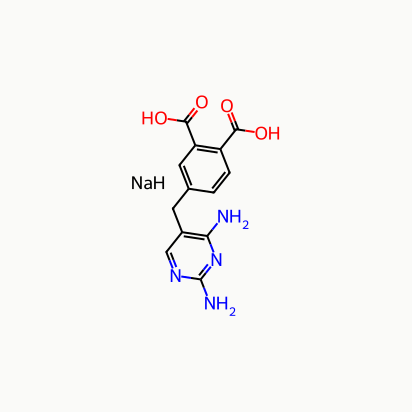 Nc1ncc(Cc2ccc(C(=O)O)c(C(=O)O)c2)c(N)n1.[NaH]